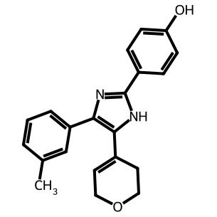 Cc1cccc(-c2nc(-c3ccc(O)cc3)[nH]c2C2=CCOCC2)c1